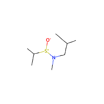 CC(C)CN(C)[S+]([O-])C(C)C